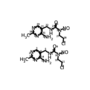 Cc1ncc(CNC(=O)N(CCCl)N=O)c(N)n1.Cc1ncc(CNC(=O)N(CCCl)N=O)c(N)n1